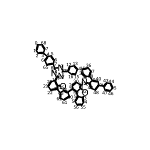 c1ccc(-c2ccc(-c3nc(-c4ccccc4)nc(-c4cccc5c4oc4c(-c6ccc(-n7c8ccccc8c8cc(-c9ccccc9)ccc87)c7oc8ccccc8c67)cccc45)n3)cc2)cc1